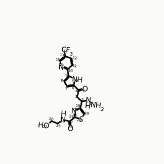 NNC(CC(=O)c1ccc(-c2ccc(C(F)(F)F)cn2)[nH]1)c1csc(C(=O)NCCO)n1